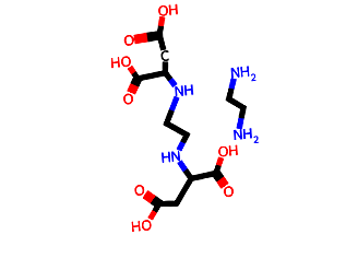 NCCN.O=C(O)CC(NCCNC(CC(=O)O)C(=O)O)C(=O)O